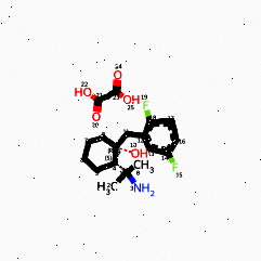 CC(C)(N)[C@@H]1CCCC[C@@]1(O)Cc1cc(F)ccc1F.O=C(O)C(=O)O